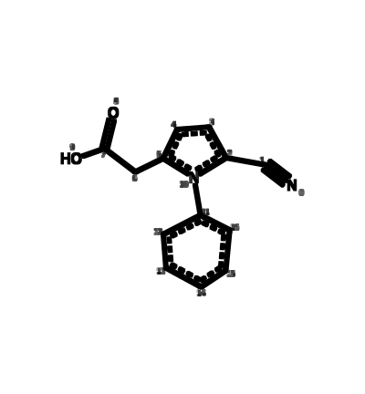 N#Cc1ccc(CC(=O)O)n1-c1ccccc1